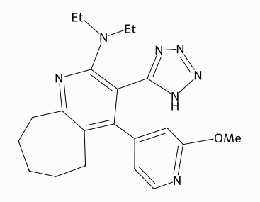 CCN(CC)c1nc2c(c(-c3ccnc(OC)c3)c1-c1nnn[nH]1)CCCCC2